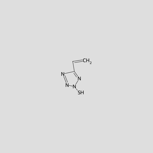 C=Cc1nnn(S)n1